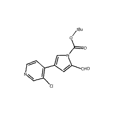 CC(C)(C)OC(=O)n1cc(-c2ccncc2Cl)cc1C=O